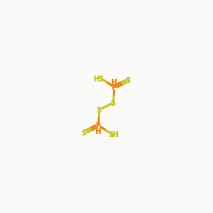 S=[PH](S)SS[PH](=S)S